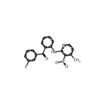 Cc1ccnc(Nc2ccccc2C(=O)c2cccc(F)c2)c1[N+](=O)[O-]